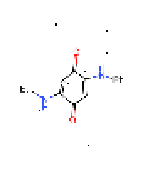 CCNC1=CC(=O)C(NCC)=CC1=O